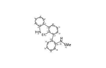 CCc1c(-c2ccccc2N)cccc1-c1ccccc1NSC